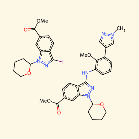 COC(=O)c1ccc2c(I)nn(C3CCCCO3)c2c1.COC(=O)c1ccc2c(Nc3cccc(-c4cnn(C)c4)c3OC)nn(C3CCCCO3)c2c1